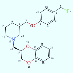 FCc1ccc(OCC2CCCN(C[C@@H]3COc4ccccc4O3)C2)cc1